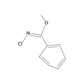 CO/C(=N/Cl)c1ccccc1